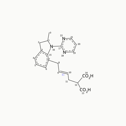 CC1Cc2cccc(C/C=C/CC(C(=O)O)C(=O)O)c2N1c1ncccn1